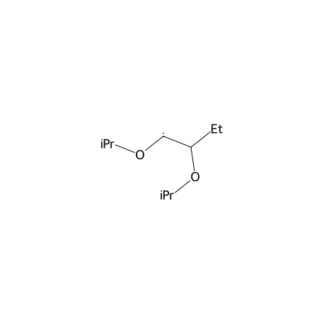 CCC([CH]OC(C)C)OC(C)C